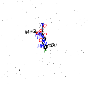 COCCOC(=O)N[C@@H](CC/C=C/C(=O)N(C)C)C(=O)Nc1cccn(Cc2nc3c(CC(C)(C)C)cc(F)cc3[nH]2)c1=O